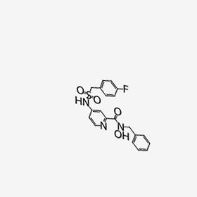 O=C(c1cc(NS(=O)(=O)Cc2ccc(F)cc2)ccn1)N(O)Cc1ccccc1